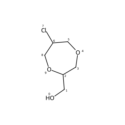 OCC1COCC(Cl)CO1